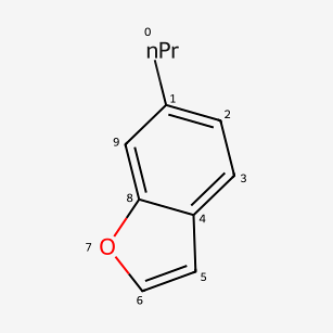 C[CH]Cc1ccc2ccoc2c1